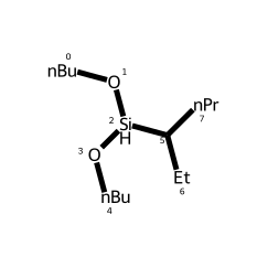 CCCCO[SiH](OCCCC)C(CC)CCC